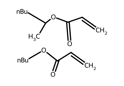 C=CC(=O)OC(C)CCCC.C=CC(=O)OCCCC